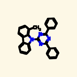 Cc1cccc2c3ccccc3n(-c3nc(-c4ccccc4)nc(-c4ccccc4)n3)c12